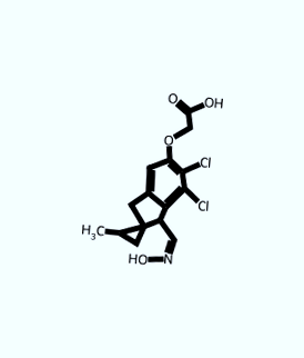 CC1CC12Cc1cc(OCC(=O)O)c(Cl)c(Cl)c1C2/C=N\O